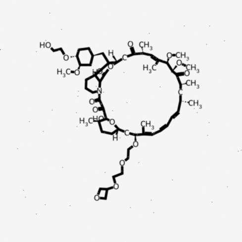 CO[C@@H]1/C(C)=C/[C@@H](C)C(=O)C[C@@H]2OC(=O)C3[C@H](CCCN3C(=O)C(=O)[C@]3(O)O[C@@H](CC[C@H]3C)C[C@H](OCCOCCOC3COC3)/C(C)=C/C=C/C=C/[C@@H](C)C[C@@H](C)C(=O)[C@@H]1OC)C2C[C@@H]1CC[C@@H](OCCO)[C@H](OC)C1